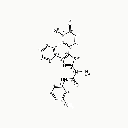 Cc1cccc(NC(=O)N(C)c2nc(-c3ccccc3)c(-c3ccc(=O)n(C(C)C)n3)s2)c1